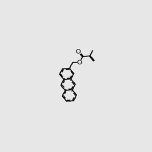 C=C(C)C(=O)OCc1ccc2cc3ccccc3cc2c1